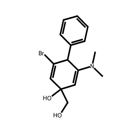 CN(C)C1=CC(O)(CO)C=C(Br)C1c1ccccc1